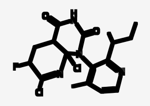 CCC(C)c1nccc(C)c1N1C(=O)NC(=O)C2CC(F)C(Cl)=NC21Cl